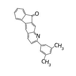 Cc1cc(C)cc(-c2ccc3cc4c(cc3n2)C(=O)c2ccccc2-4)c1